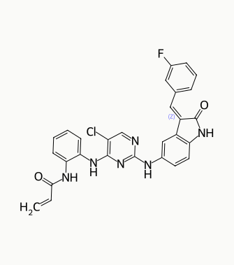 C=CC(=O)Nc1ccccc1Nc1nc(Nc2ccc3c(c2)/C(=C/c2cccc(F)c2)C(=O)N3)ncc1Cl